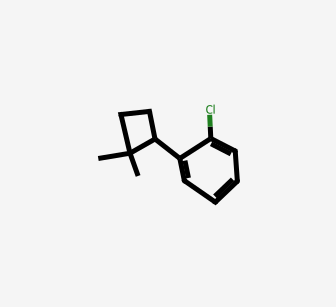 CC1(C)CCC1c1ccccc1Cl